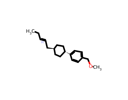 CC/C=C/C[C@H]1CC[C@H](c2ccc(COC)cc2)CC1